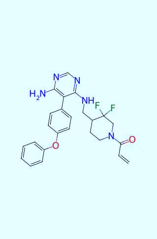 C=CC(=O)N1CCC(CNc2ncnc(N)c2-c2ccc(Oc3ccccc3)cc2)C(F)(F)C1